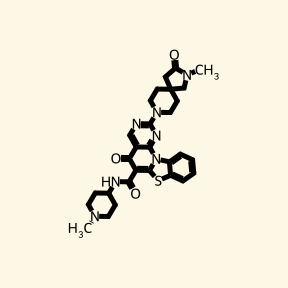 CN1CCC(NC(=O)c2c(=O)c3cnc(N4CCC5(CC4)CC(=O)N(C)C5)nc3n3c2sc2ccccc23)CC1